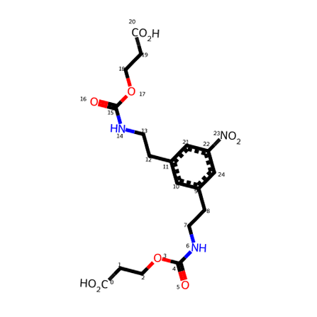 O=C(O)CCOC(=O)NCCc1cc(CCNC(=O)OCCC(=O)O)cc([N+](=O)[O-])c1